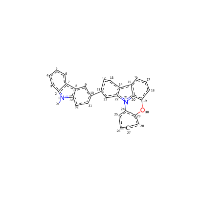 Cn1c2ccccc2c2cc(-c3ccc4c5cccc6c5n(c4c3)-c3ccccc3O6)ccc21